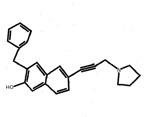 Oc1cc2ccc(C#CCN3CCCC3)cc2cc1Cc1ccccc1